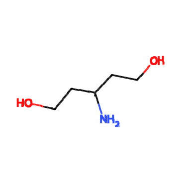 N[C](CCO)CCO